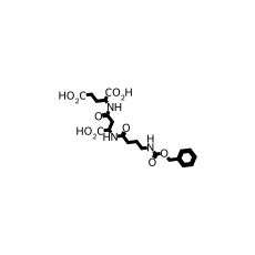 O=C(O)CCC(NC(=O)CC(NC(=O)CCCNC(=O)OCc1ccccc1)C(=O)O)C(=O)O